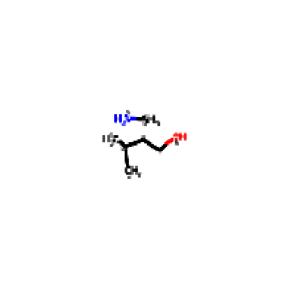 CC(C)CCO.N[SiH3]